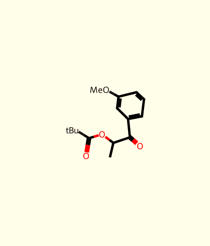 COc1cccc(C(=O)C(C)OC(=O)C(C)(C)C)c1